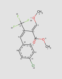 CO/C=C(C(=O)OC)\C(=C/c1ccc(Cl)cc1)C(F)(F)F